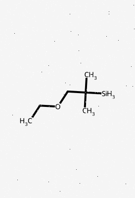 CCOCC(C)(C)[SiH3]